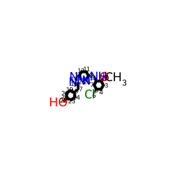 COc1ccc(Cl)cc1Nc1ccc2nnc(Cc3ccc(O)cc3)n2n1